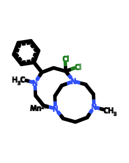 CN1CCCN2CCN(C)C(c3ccccc3)CC(Cl)(Cl)N(CC1)CC2.[Mn+2]